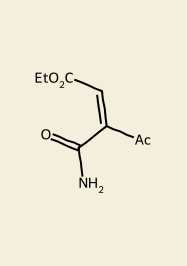 CCOC(=O)C=C(C(C)=O)C(N)=O